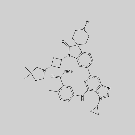 CNC(=O)c1cc(Nc2nc(-c3ccc4c(c3)N([C@H]3C[C@@H](N5CCC(C)(C)C5)C3)C(=O)C43CCN(C(C)=O)CC3)cc3ncn(C4CC4)c23)ccc1C